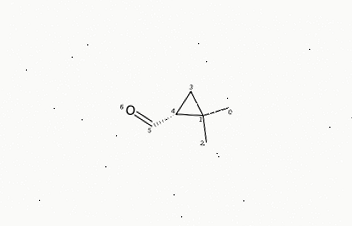 CC1(C)C[C@H]1C=O